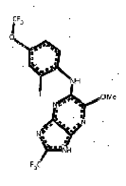 COc1nc2[nH]c(C(F)(F)F)nc2nc1Nc1ccc(OC(F)(F)F)cc1I